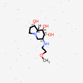 COCCN[C@H]1CN2CC[C@H](O)[C@@H]2[C@@H](O)[C@@H]1O